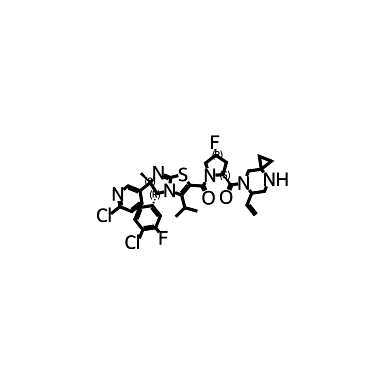 C=CC1CNC2(CC2)CN1C(=O)[C@@H]1C[C@@H](F)CN1C(=O)C1=C(C(C)C)N2C(=N[C@@](C)(c3ccc(Cl)nc3)[C@H]2c2ccc(Cl)c(F)c2)S1